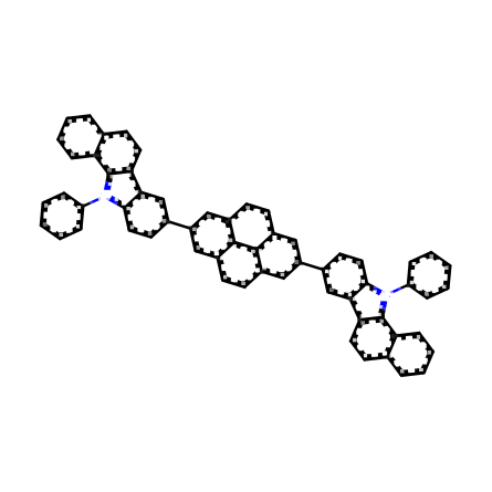 c1ccc(-n2c3ccc(-c4cc5ccc6cc(-c7ccc8c(c7)c7ccc9ccccc9c7n8-c7ccccc7)cc7ccc(c4)c5c67)cc3c3ccc4ccccc4c32)cc1